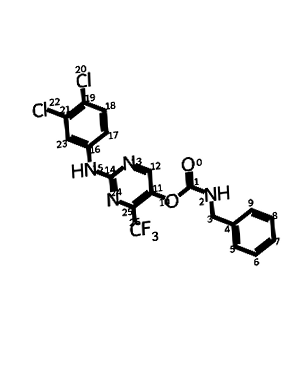 O=C(NCc1ccccc1)Oc1cnc(Nc2ccc(Cl)c(Cl)c2)nc1C(F)(F)F